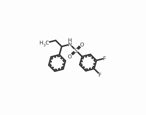 CCC(NS(=O)(=O)c1ccc(F)c(F)c1)c1ccccc1